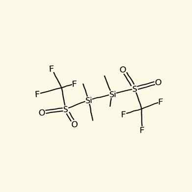 C[Si](C)([Si](C)(C)S(=O)(=O)C(F)(F)F)S(=O)(=O)C(F)(F)F